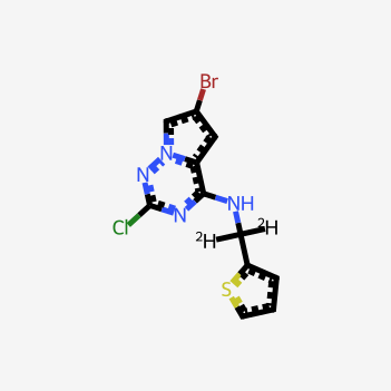 [2H]C([2H])(Nc1nc(Cl)nn2cc(Br)cc12)c1cccs1